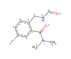 CN(C)C(=O)c1cc(F)ccc1CN[C]=O